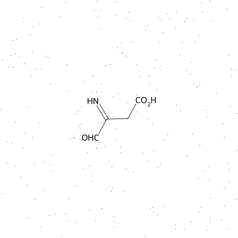 N=C(C=O)CC(=O)O